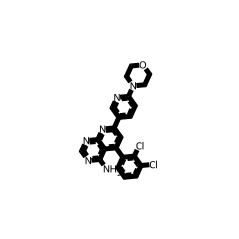 Nc1ncnc2nc(-c3ccc(N4CCOCC4)nc3)cc(-c3cccc(Cl)c3Cl)c12